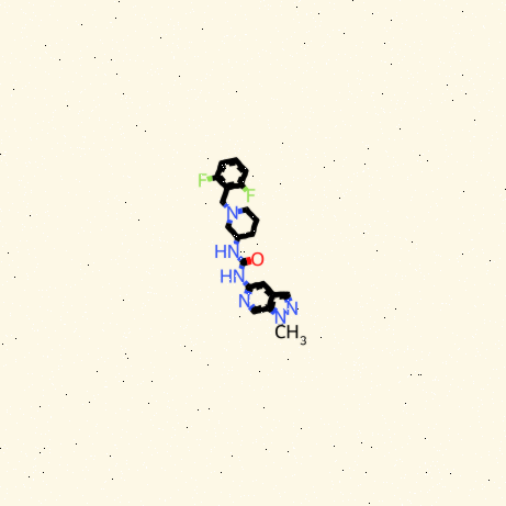 Cn1ncc2cc(NC(=O)NC3CCCN(Cc4c(F)cccc4F)C3)ncc21